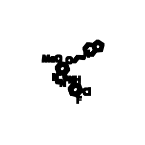 COc1cc2ncnc(Nc3ccc(F)c(Cl)c3)c2cc1OCCCN1CCC2CCCC2C1